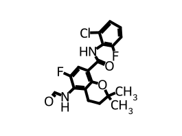 CC1(C)CCc2c(NC=O)c(F)cc(C(=O)Nc3c(F)cccc3Cl)c2O1